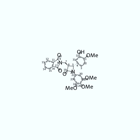 COc1ccc([C@H]2[C@H](CN3C(=O)c4ccccc4C3=O)C(=O)N2c2cc(OC)c(OC)c(OC)c2)cc1O